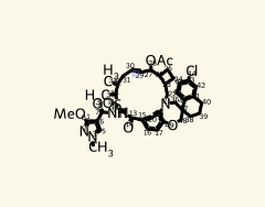 COc1nn(C)cc1C(=O)NS1(=O)=NC(=O)c2ccc3c(c2)N(CC2CCC2C(OC(C)=O)/C=C/CC(C)C1C)CC1(CCCc2cc(Cl)ccc21)CO3